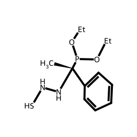 CCOP(OCC)[C@@](C)(NNS)c1ccccc1